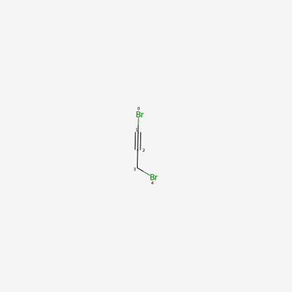 BrC#CCBr